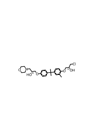 Cc1cc(C(C)(C)c2ccc(OC[C@H](O)CN3CCOCC3)cc2)ccc1OC[C@H](O)CCl